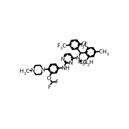 Cc1cc(C)c(C(c2cc(C(F)(F)F)ccc2Cl)N(C(=O)O)c2ccnc(Nc3ccc(N4CCN(C)CC4)c(OC(F)F)c3)n2)c(C)c1